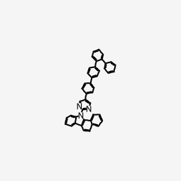 c1ccc(-c2ccccc2-c2ccc(-c3ccc(-c4cnc(-n5c6ccccc6c6ccc7ccccc7c65)nc4)cc3)cc2)cc1